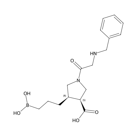 O=C(O)[C@@H]1CN(C(=O)CNCc2ccccc2)C[C@@H]1CCCB(O)O